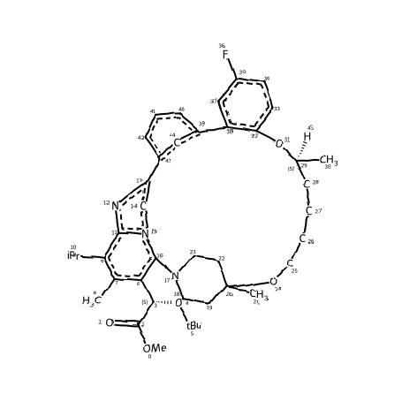 COC(=O)[C@@H](OC(C)(C)C)c1c(C)c(C(C)C)c2nc3cn2c1N1CCC(C)(CC1)OCCCC[C@H](C)Oc1ccc(F)cc1-c1cccc-3c1